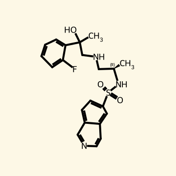 C[C@H](CNCC(C)(O)c1ccccc1F)NS(=O)(=O)c1ccc2cnccc2c1